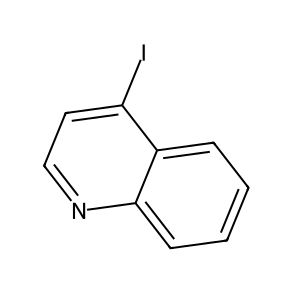 Ic1ccnc2ccccc12